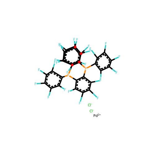 Fc1c(F)c(F)c(P(c2c(F)c(F)c(F)c(F)c2F)c2c(F)c(F)c(F)c(F)c2P(c2c(F)c(F)c(F)c(F)c2F)c2c(F)c(F)c(F)c(F)c2F)c(F)c1F.[Cl-].[Cl-].[Pd+2]